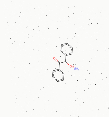 N.O=C(c1ccccc1)C(O)c1ccccc1